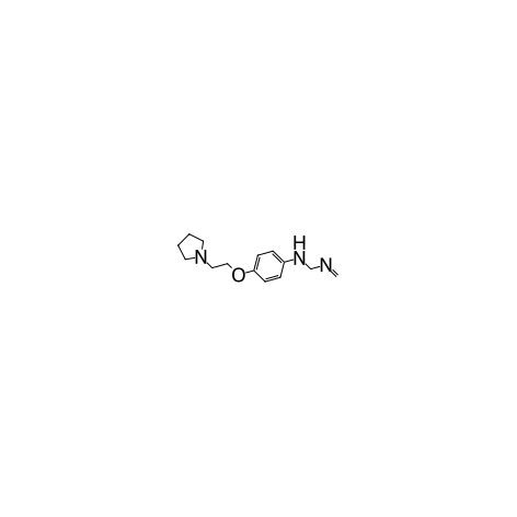 C=NCNc1ccc(OCCN2CCCC2)cc1